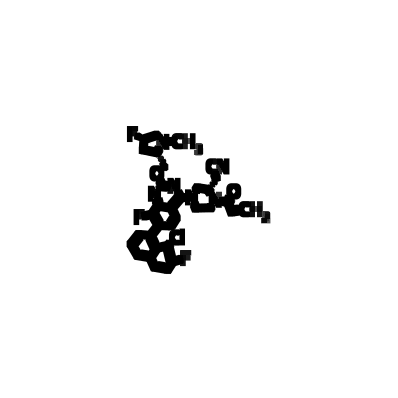 C=CC(=O)N1CCN(c2nc(OC[C@@H]3C[C@@H](F)CN3C)nc3c(F)c(-c4cccc5ccc(F)c(Cl)c45)ccc23)C[C@@H]1CC#N